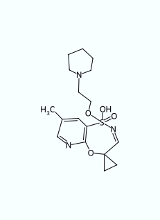 Cc1cnc2c(c1)S(=O)(O)(OCCN1CCCCC1)N=CC1(CC1)O2